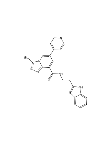 CC(C)(C)c1nnc2c(C(=O)NCCc3nc4ccccc4[nH]3)cc(-c3ccncc3)cn12